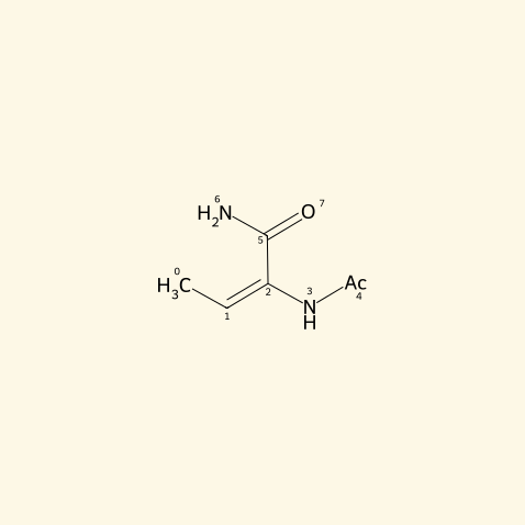 CC=C(NC(C)=O)C(N)=O